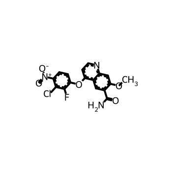 COc1cc2nccc(Oc3ccc([N+](=O)[O-])c(Cl)c3F)c2cc1C(N)=O